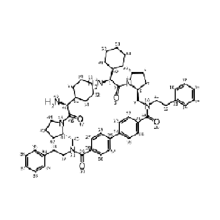 N[C@H](C(=O)N1CCC[C@H]1CN(CCc1ccccc1)C(=O)c1ccc(-c2ccc(C(=O)N(CCc3ccccc3)C[C@@H]3CCCN3C(=O)[C@@H](N)C3CCCCC3)cc2)cc1)C1CCCCC1